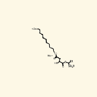 CCCCCCCCCCCCCCCCCCCCOC(=O)CC(O)C(=O)OC(CC)S(=O)(=O)O.[NaH]